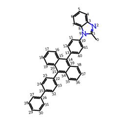 Cc1nc2ccccc2n1-c1ccc(-c2c3ccccc3c(-c3ccc(-c4ccccc4)cc3)c3ccccc23)cc1